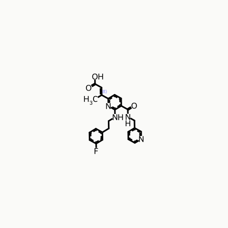 C/C(=C\C(=O)O)c1ccc(C(=O)NCc2cccnc2)c(NCCc2cccc(F)c2)n1